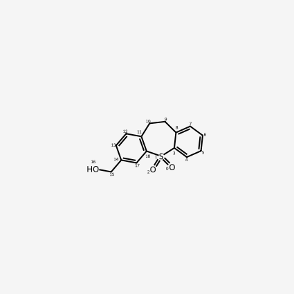 O=S1(=O)c2ccccc2CCc2ccc(CO)cc21